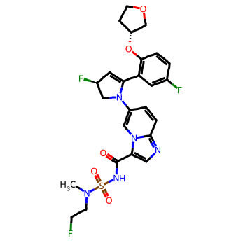 CN(CCF)S(=O)(=O)NC(=O)c1cnc2ccc(N3C[C@@H](F)C=C3c3cc(F)ccc3O[C@@H]3CCOC3)cn12